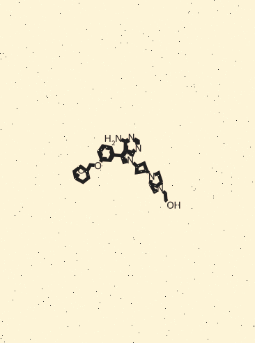 Nc1ncnc2c1c(-c1cccc(OCC34CCC(CC3)O4)c1)cn2C1CC(N2CC3CC2CN3CCO)C1